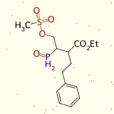 CCOC(=O)C(CCc1ccccc1)C(COS(C)(=O)=O)[PH2]=O